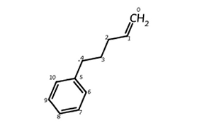 C=CCC[CH]c1ccccc1